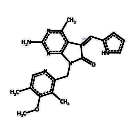 COc1c(C)cnc(CN2C(=O)/C(=C\c3ccc[nH]3)c3c(C)nc(N)nc32)c1C